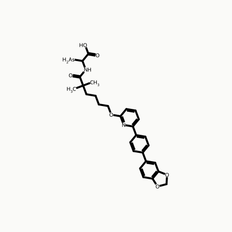 CC(C)(CCCCOc1cccc(-c2ccc(-c3ccc4c(c3)OCO4)cc2)n1)C(=O)NC([AsH2])C(=O)O